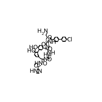 C[C@@H]1NC(=O)[C@@H](N(C)C(=O)[C@H](CCCCN)NC(=O)c2ccc(-c3ccc(Cl)cc3)cc2)c2ccc(O)c(c2)-c2cc(ccc2O)C[C@@H](C(=O)NCC(=O)c2ncc[nH]2)NC1=O